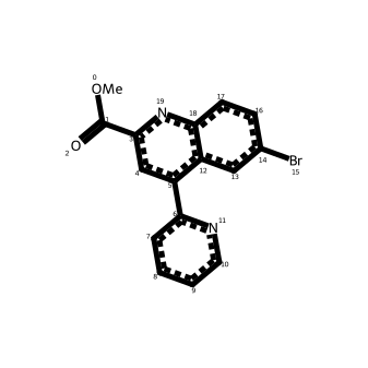 COC(=O)c1cc(-c2ccccn2)c2cc(Br)ccc2n1